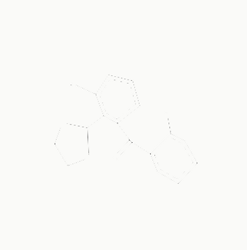 O=C(c1ccccc1F)c1cccc(Br)c1C1OCCO1